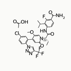 CC(=O)O.CC[C@@H](C(=O)Nc1ccc(C(N)=O)c(F)c1C(C)C)n1cc(OC)c(-c2cc(Cl)ccc2-n2cc(C(F)(F)F)nn2)cc1=O